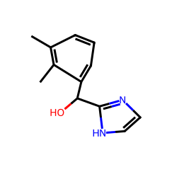 Cc1cccc(C(O)c2ncc[nH]2)c1C